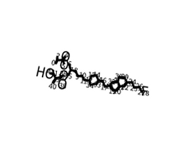 C=C(C)C(=O)OCC(CCCCC1CCC(CCc2ccc3cc(CCCCF)ccc3c2)CC1)COC(=O)C(=C)CO